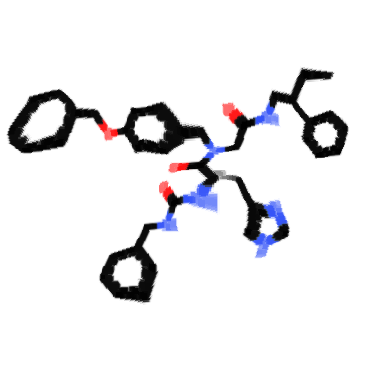 CCC(CNC(=O)CN(Cc1ccc(OCc2ccccc2)cc1)C(=O)[C@H](Cc1c[nH]cn1)NC(=O)NCc1ccccc1)c1ccccc1